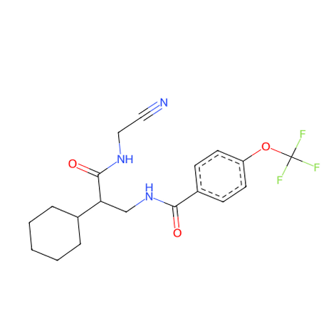 N#CCNC(=O)C(CNC(=O)c1ccc(OC(F)(F)F)cc1)C1CCCCC1